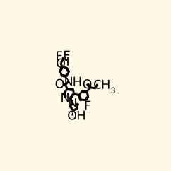 CCC(=O)c1cc(F)cc(-c2cc(C(=O)Nc3ccc(OC(F)(F)I)cc3)cnc2N2CC[C@@H](O)C2)c1